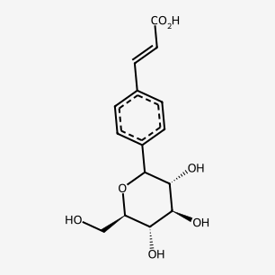 O=C(O)C=Cc1ccc(C2O[C@H](CO)[C@@H](O)[C@H](O)[C@H]2O)cc1